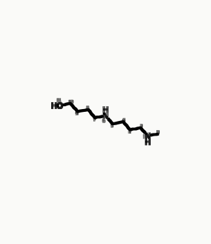 CNCCCCNCCCCO